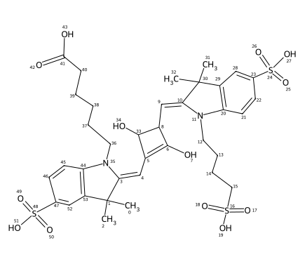 CC1(C)C(=CC2=C(O)C(C=C3N(CCCCS(=O)(=O)O)c4ccc(S(=O)(=O)O)cc4C3(C)C)C2O)N(CCCCCC(=O)O)c2ccc(S(=O)(=O)O)cc21